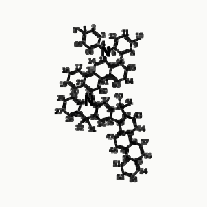 Cc1ccc(N(c2ccc(C)cc2)c2cc3c4ccccc4c(N4c5ccccc5C(C)(C)c5cc6c(cc54)C(C)(C)c4ccc5c(ccc7c8ccccc8ccc57)c4-6)cc3c3ccccc23)cc1